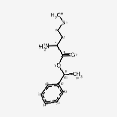 CSCCC(N)C(=O)O[C@@H](C)c1ccccc1